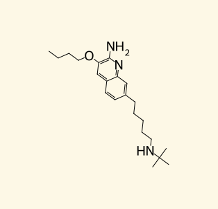 CCCCOc1cc2ccc(CCCCCNC(C)(C)C)cc2nc1N